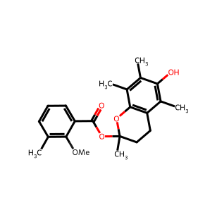 COc1c(C)cccc1C(=O)OC1(C)CCc2c(C)c(O)c(C)c(C)c2O1